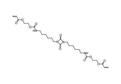 C=CC(=O)OCCOC(=O)NCCCCCCN1C(=O)N(CCCCCCNC(=O)OCCOC(=O)C=C)C1=O